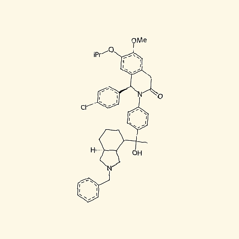 COc1cc2c(cc1OC(C)C)[C@H](c1ccc(Cl)cc1)N(c1ccc(C(C)(O)C3CCC[C@@H]4CN(Cc5ccccc5)CC34)cc1)C(=O)C2